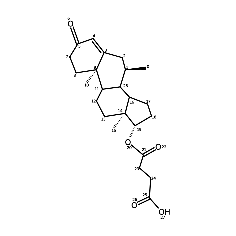 C[C@@H]1CC2=CC(=O)CC[C@]2(C)C2CC[C@@]3(C)C(CC[C@@H]3OC(=O)CCC(=O)O)C21